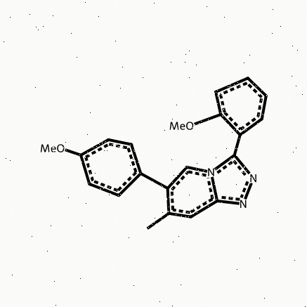 COc1ccc(-c2cn3c(-c4ccccc4OC)nnc3cc2C)cc1